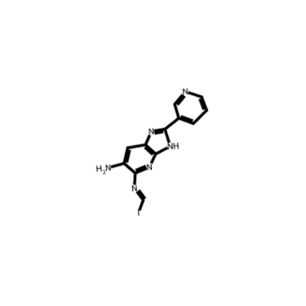 Nc1cc2nc(-c3cccnc3)[nH]c2nc1/N=C/I